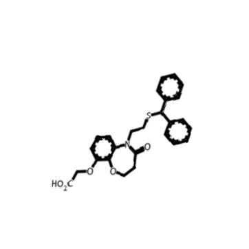 O=C(O)COc1cccc2c1OCCC(=O)N2CCSC(c1ccccc1)c1ccccc1